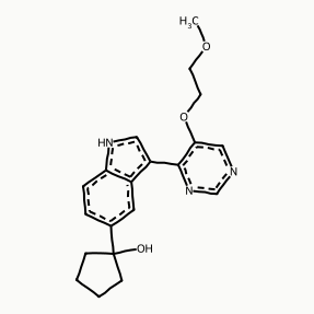 COCCOc1cncnc1-c1c[nH]c2ccc(C3(O)CCCC3)cc12